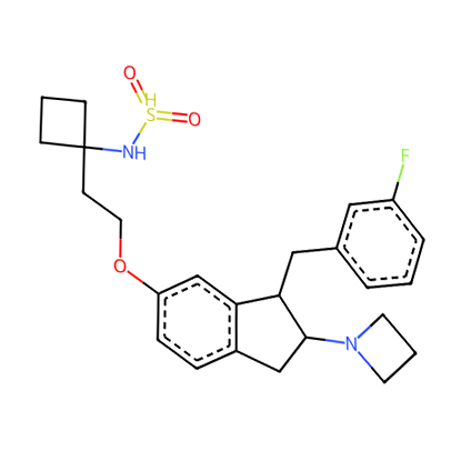 O=[SH](=O)NC1(CCOc2ccc3c(c2)C(Cc2cccc(F)c2)C(N2CCC2)C3)CCC1